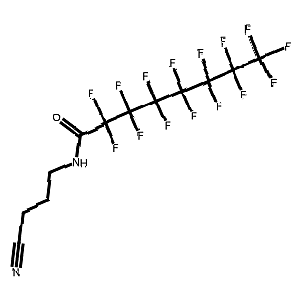 N#CCCCNC(=O)C(F)(F)C(F)(F)C(F)(F)C(F)(F)C(F)(F)C(F)(F)C(F)(F)F